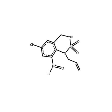 C=CCN1c2c(cc(Cl)cc2[N+](=O)[O-])CNS1(=O)=O